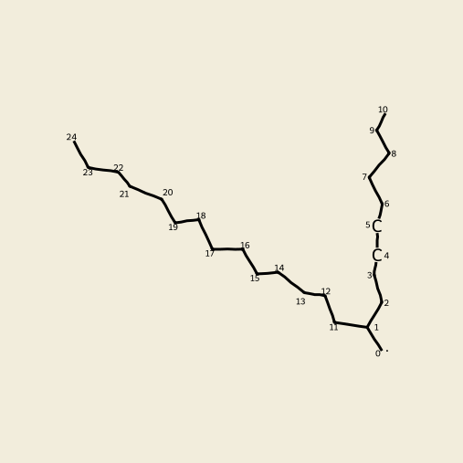 [CH2]C(CCCCCCCCC)CCCCCCCCCCCCCC